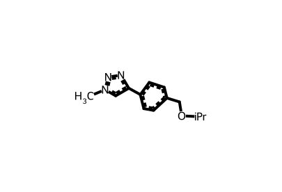 CC(C)OCc1ccc(-c2cn(C)nn2)cc1